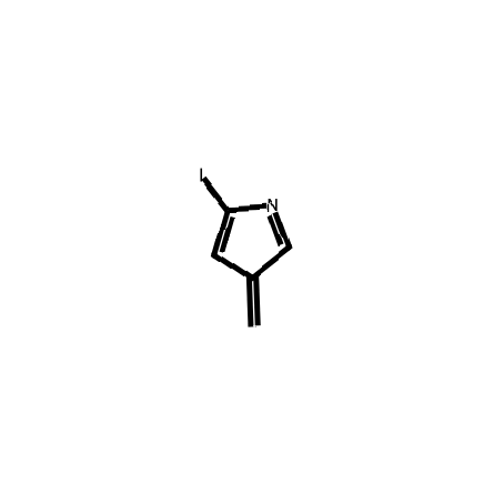 C=C1C=NC(I)=C1